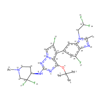 [2H]C([2H])([2H])Oc1nc(N[C@@H]2CCN(C(C)=O)CC2(F)F)nn2cc(F)c(-c3cc(F)c4nc(C)n(CC(F)F)c4c3)c12